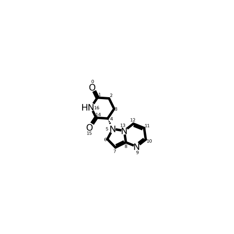 O=C1CC[C@H](N2CC=C3N=CC=CN32)C(=O)N1